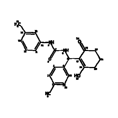 N#Cc1ccc(C(NC(=O)Nc2cccc(C(F)(F)F)c2)C2=C(O)CCCC2=O)cn1